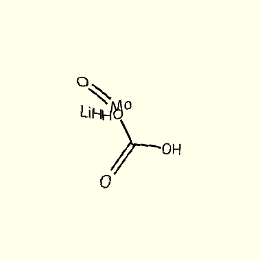 O=C(O)O.[LiH].[O]=[Mo]